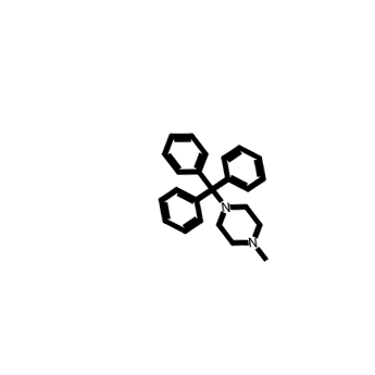 CN1CCN(C(c2ccccc2)(c2ccccc2)c2ccccc2)CC1